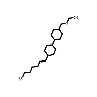 CCCCC/C=C/C1CCC(C2CCC(COCC)CC2)CC1